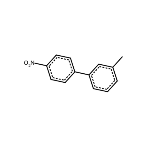 Cc1[c]ccc(-c2ccc([N+](=O)[O-])cc2)c1